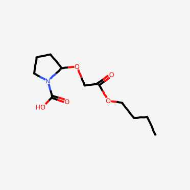 CCCCOC(=O)COC1CCCN1C(=O)O